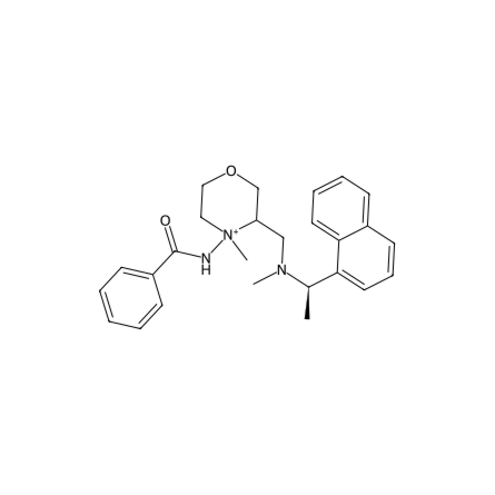 C[C@H](c1cccc2ccccc12)N(C)CC1COCC[N+]1(C)NC(=O)c1ccccc1